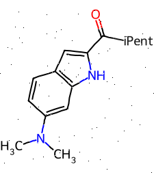 CCCC(C)C(=O)c1cc2ccc(N(C)C)cc2[nH]1